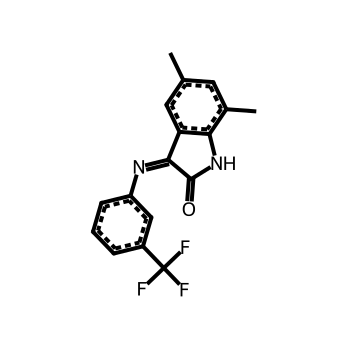 Cc1cc(C)c2c(c1)C(=Nc1cccc(C(F)(F)F)c1)C(=O)N2